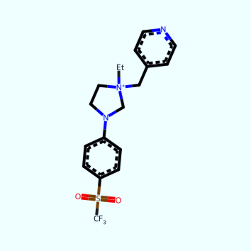 CC[N+]1(Cc2ccncc2)CCN(c2ccc(S(=O)(=O)C(F)(F)F)cc2)C1